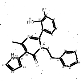 Cc1nc(-c2cccc(F)c2O)n(CCc2ccccc2)c(=O)c1-c1ccc[nH]1